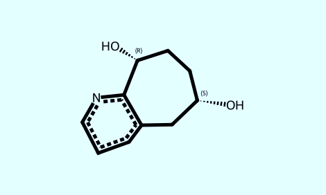 O[C@H]1CC[C@@H](O)c2ncccc2C1